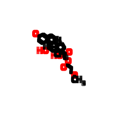 COCCC(=O)OCC(=O)[C@@]1(O)CC[C@H]2[C@@H]3CCC4=CC(=O)C=C[C@]4(C)[C@H]3[C@@H](O)C[C@@]21C